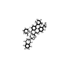 O=C([C@H](Cc1ncccn1)N(Cc1ccc(-c2ccccn2)cc1)C(=O)C=Cc1ccc(C(F)(F)F)cc1)N1CCc2ccccc2C1